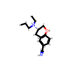 CCCN(CC)[C@@H]1COc2ccc(C#N)cc2C1